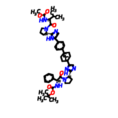 COC(=O)N[C@H](C(=O)N1CCC[C@H]1c1ncc(-c2ccc(C34CCC(c5cnc([C@@H]6CCCN6C(=O)[C@H](NC(=O)OC(C)(C)C)c6ccccc6)[nH]5)(CC3)CC4)cc2)[nH]1)C(C)C